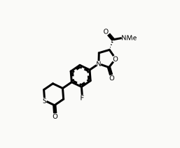 CNC(=O)[C@H]1CN(c2ccc(C3CCSC(=O)C3)c(F)c2)C(=O)O1